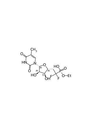 CCOP(=O)(O)C(F)(F)C[C@H]1O[C@@H](n2cc(C)c(=O)[nH]c2=O)[C@H](O)[C@@H]1O